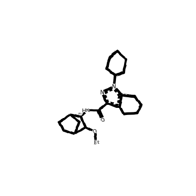 CCOC1C2CCC(C2)[C@H]1NC(=O)c1nn(C2CCCCC2)c2c1CCCC2